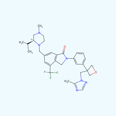 Cc1ncnn1CC1(c2cccc(N3Cc4c(cc(CN5CCN(C)C[C@@H]5C(C)C)cc4C(F)(F)F)C3=O)c2)COC1